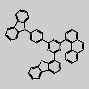 c1ccc2c(c1)ccc1cccc(-c3nc(-c4ccc(-n5c6ccccc6c6ccccc65)cc4)nc(-c4cccc5c4sc4ccccc45)n3)c12